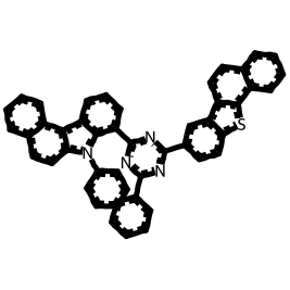 c1ccc(-c2nc(-c3ccc4sc5c6ccccc6ccc5c4c3)nc(-c3cccc4c5c6ccccc6ccc5n(-c5ccccc5)c34)n2)cc1